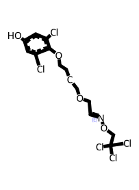 Oc1cc(Cl)c(OCCCCOC/C=N/OCC(Cl)(Cl)Cl)c(Cl)c1